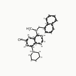 CN(Cc1cccc2ccccc12)c1ncnc2c(N3CCCCC3)nc(Cl)nc12